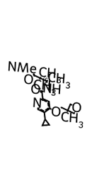 CNC(=O)C(C)(C)[C@H](C)NC(=O)c1cc(OCC2(C)COC2)c(C2CC2)cn1